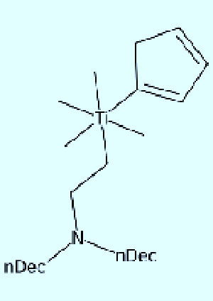 CCCCCCCCCCN(CCCCCCCCCC)C[CH2][Ti]([CH3])([CH3])([CH3])([CH3])[C]1=CC=CC1